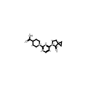 O=C(O)C1CCN(c2nccc(N3CCC4(CC4)C3=O)n2)CC1